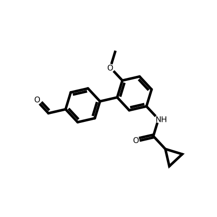 COc1ccc(NC(=O)C2CC2)cc1-c1ccc(C=O)cc1